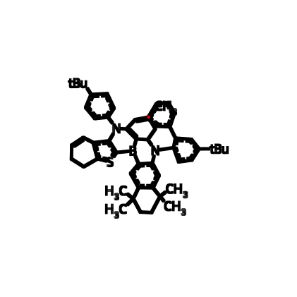 CC1=CC2=C3B(c4cc5c(cc4N(c4ccc(C(C)(C)C)cc4-c4ccccc4)C3C1)C(C)(C)CCC5(C)C)c1sc3c(c1N2c1ccc(C(C)(C)C)cc1)C=CCC3